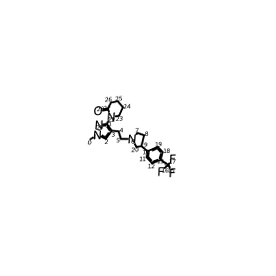 Cn1cc(CCN2CCC(c3ccc(C(F)(F)F)cc3)C2)c(N2CCCCC2=O)n1